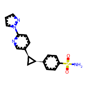 NS(=O)(=O)c1ccc([C@@H]2C[C@H]2c2ccc(-n3cccn3)nc2)cc1